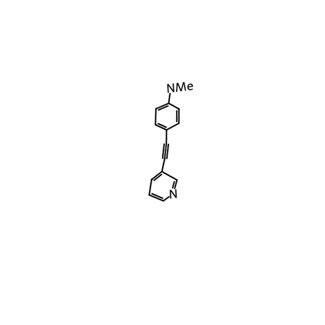 CNc1ccc(C#Cc2cccnc2)cc1